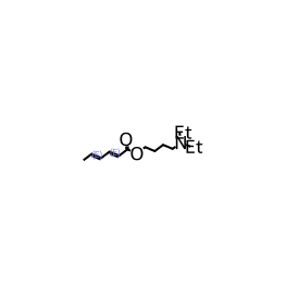 C/C=C/C=C/C(=O)OCCCCN(CC)CC